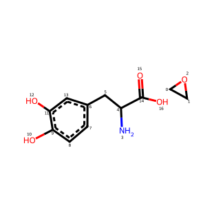 C1CO1.NC(Cc1ccc(O)c(O)c1)C(=O)O